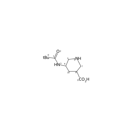 CC(C)(C)C(=O)NC1CNCC(C(=O)O)C1